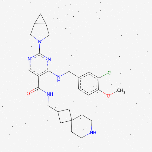 COc1ccc(CNc2nc(N3CC4CC4C3)ncc2C(=O)NCC2CC3(CCNCC3)C2)cc1Cl